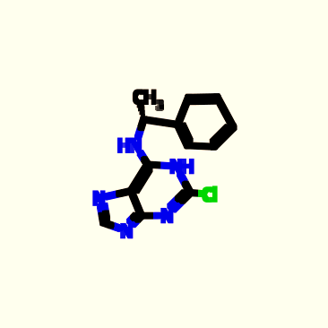 C[C@@H](Nc1[nH]c(Cl)nc2ncnc1-2)c1ccccc1